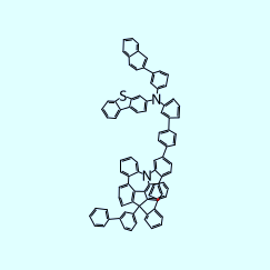 c1ccc(-c2cccc(C3(c4ccccc4-c4ccccc4)c4cccc5c4-c4c3ccc3c6ccc(-c7ccc(-c8cccc(N(c9cccc(-c%10ccc%11ccccc%11c%10)c9)c9ccc%10c(c9)sc9ccccc9%10)c8)cc7)cc6n(c43)-c3ccccc3-5)c2)cc1